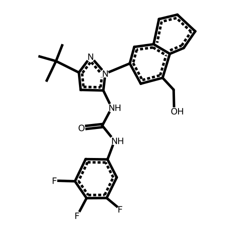 CC(C)(C)c1cc(NC(=O)Nc2cc(F)c(F)c(F)c2)n(-c2cc(CO)c3ccccc3c2)n1